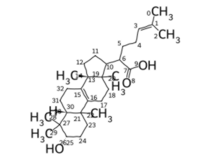 CC(C)=CCCC(C(=O)O)C1CC[C@@]2(C)C3=C(CCC12C)C1(C)CC[C@H](O)C(C)(C)[C@@H]1CC3